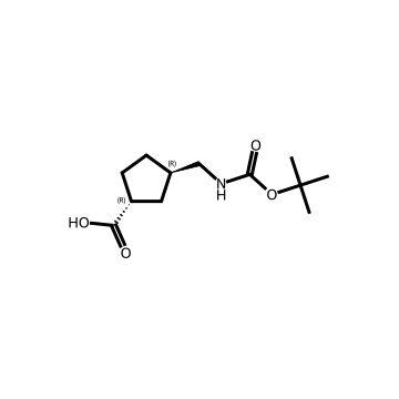 CC(C)(C)OC(=O)NC[C@@H]1CC[C@@H](C(=O)O)C1